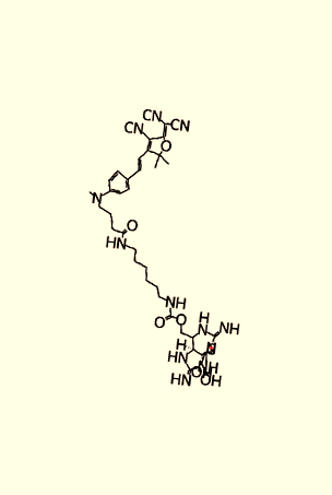 [C-]#[N+]C1=C(/C=C/c2ccc(N(C)CCCC(=O)NCCCCCCNC(=O)OCC3NC(=N)N4CCC(O)(O)[C@@]45NC(=N)N[C@@H]35)cc2)C(C)(C)O/C1=C(\C#N)[N+]#[C-]